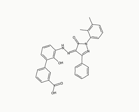 Cc1cccc(N2N=C(c3ccccc3)C(=NNc3cccc(-c4cccc(C(=O)O)c4)c3O)C2=O)c1C